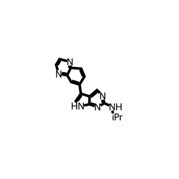 CC(C)Nc1ncc2c(-c3ccc4nccnc4c3)c[nH]c2n1